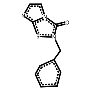 O=c1n(Cc2ccccc2)sc2nccn12